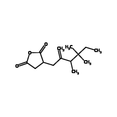 C=C(CC1CC(=O)OC1=O)C(C)C(C)(C)CC